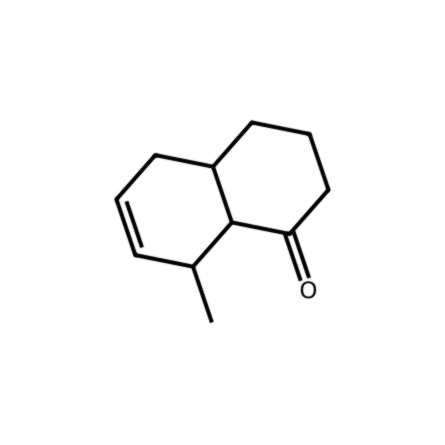 CC1C=CCC2CCCC(=O)C12